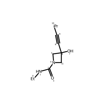 CCNC(=O)N1CC(O)(C#CC(C)C)C1